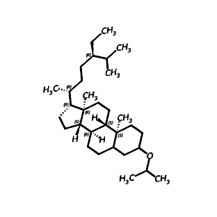 CC[C@H](CC[C@@H](C)[C@H]1CC[C@H]2[C@@H]3CCC4CC(OC(C)C)CC[C@]4(C)[C@H]3CC[C@]12C)C(C)C